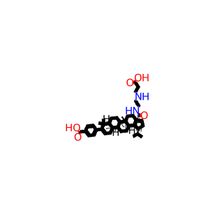 CC(C)[C@@H]1CC[C@]2(C(=O)NCCNCCC(=O)O)CC[C@]3(C)[C@H](CC[C@@H]4[C@@]5(C)CC=C(c6ccc(C(=O)O)cc6)C(C)(C)[C@@H]5CC[C@]43C)[C@@H]12